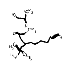 CC(C)(C)C(CCCC=O)C(N)=O.NC(=O)O